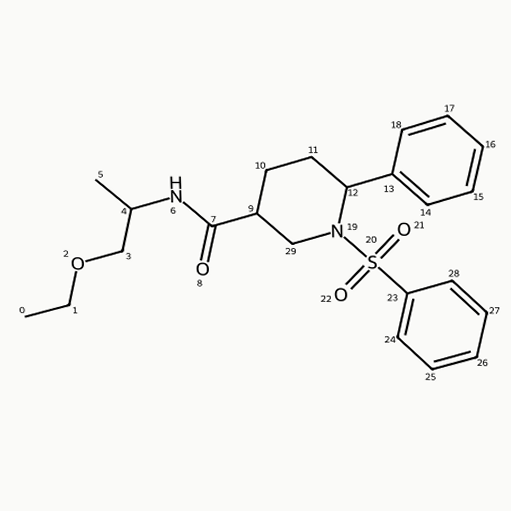 CCOCC(C)NC(=O)C1CCC(c2ccccc2)N(S(=O)(=O)c2ccccc2)C1